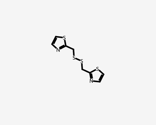 c1csc(CSSCc2nccs2)n1